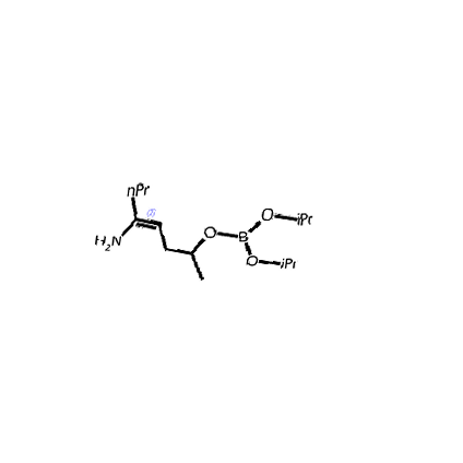 CCC/C(N)=C/CC(C)OB(OC(C)C)OC(C)C